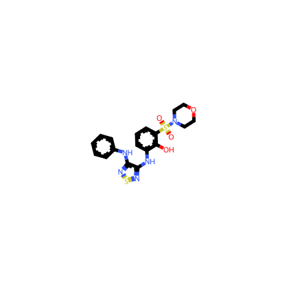 O=S(=O)(c1cccc(Nc2nsnc2Nc2ccccc2)c1O)N1CCOCC1